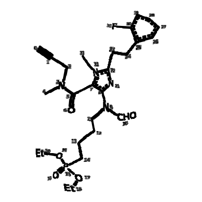 C#CCN(C)C(=O)c1c(N(C=O)CCCCP(=O)(OCC)OCC)nc(CCc2ccccc2F)n1C